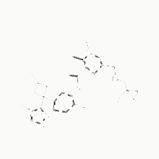 CC1CC(c2ccc(F)c(NC(=O)c3cc(CNCC4(CF)CC4)cn(CC(F)(F)F)c3=O)c2)(c2nncn2C)C1